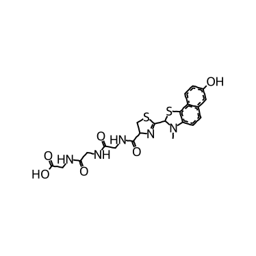 CN1c2ccc3cc(O)ccc3c2SC1C1=NC(C(=O)NCC(=O)NCC(=O)NCC(=O)O)CS1